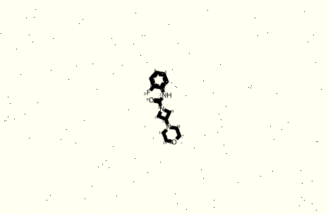 O=C(Nc1ccccc1F)N1CC(N2CCOCC2)C1